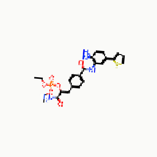 CCOP(=O)(OCC)OC(Cc1ccc(C(=O)Nc2cc(-c3cccs3)ccc2N)cc1)C(N)=O